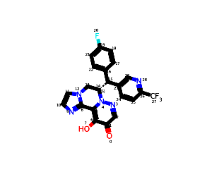 O=c1cnn2c(c1O)-c1nccn1C[C@@H]2C(c1ccc(F)cc1)c1ccc(C(F)(F)F)nc1